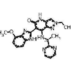 CCn1cc2[nH]c(=O)c(-c3nc4c(OC)cccc4[nH]3)c(N[C@@H](C)c3ncccn3)c2n1